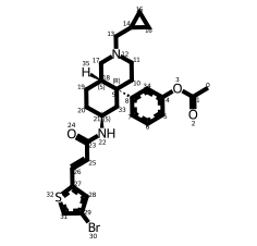 CC(=O)Oc1cccc([C@@]23CCN(CC4CC4)C[C@H]2CC[C@H](NC(=O)C=Cc2cc(Br)cs2)C3)c1